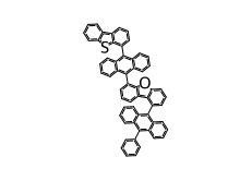 c1ccc(-c2c3ccccc3c(-c3cccc4oc5c(-c6c7ccccc7c(-c7cccc8c7sc7ccccc78)c7ccccc67)cccc5c34)c3ccccc23)cc1